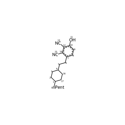 CCCCCC1CCC(CCc2ccc(O)c(C#N)c2C#N)CC1